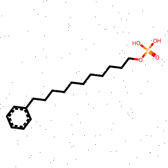 O=P(O)(O)OCCCCCCCCCCCc1ccccc1